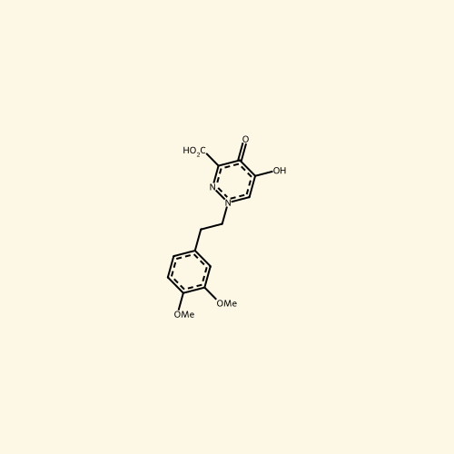 COc1ccc(CCn2cc(O)c(=O)c(C(=O)O)n2)cc1OC